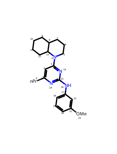 CCCc1cc(N2CCCC3CCCCC32)nc(Nc2cccc(OC)c2)n1